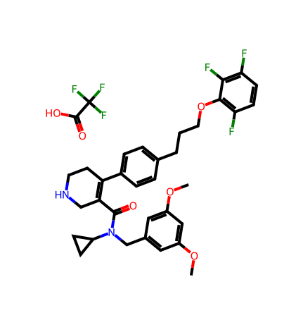 COc1cc(CN(C(=O)C2=C(c3ccc(CCCOc4c(F)ccc(F)c4F)cc3)CCNC2)C2CC2)cc(OC)c1.O=C(O)C(F)(F)F